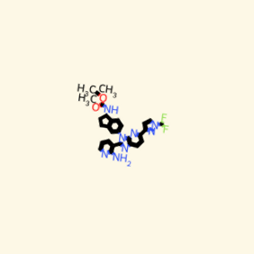 CC(C)(C)OC(=O)N[C@H]1CCc2cc(-n3c(-c4cccnc4N)nc4ccc(-c5ccn(C(F)F)n5)nc43)ccc21